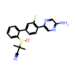 CC(C)(C#N)[S+]([O-])c1ccccc1-c1ccc(-c2cnc(N)cn2)c(F)c1